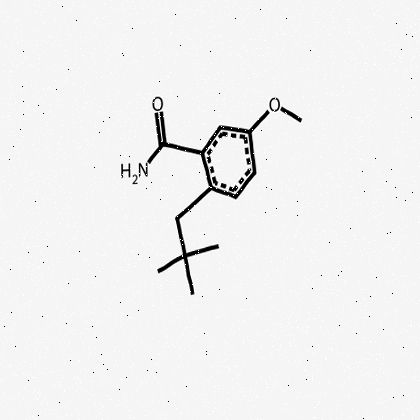 COc1ccc(CC(C)(C)C)c(C(N)=O)c1